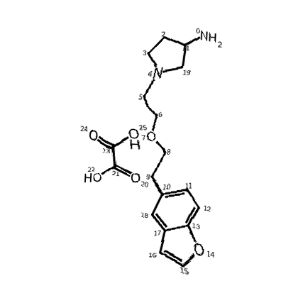 NC1CCN(CCOCCc2ccc3occc3c2)C1.O=C(O)C(=O)O